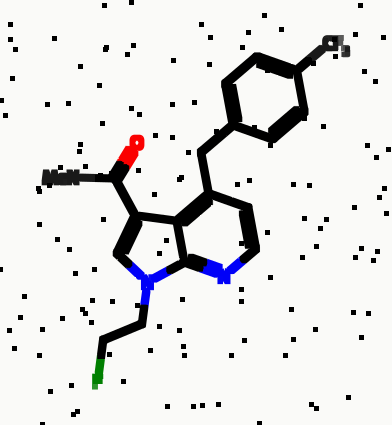 CNC(=O)c1cn(CCF)c2nccc(Cc3ccc(C(F)(F)F)cc3)c12